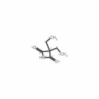 CCC1(CC)C(=O)NC1=O